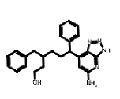 Nc1cc(C(CCC(CCO)Cc2ccccc2)c2ccccc2)c2nn[nH]c2n1